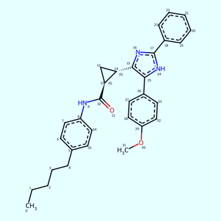 CCCCCc1ccc(NC(=O)[C@H]2C[C@@H]2c2nc(-c3ccccc3)[nH]c2-c2ccc(OC)cc2)cc1